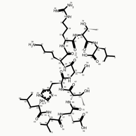 CC(C)C[C@H](NC(=O)[C@@H](NC(=O)[C@H](CCCNC(=N)N)NC(=O)[C@H](CCCCN)NC(=O)[C@H](CO)NC(=O)[C@H](Cc1c[nH]cn1)NC(=O)[C@@H](NC(=O)[C@H](CC(=O)O)NC(=O)[C@@H](NC(=O)[C@@H](N)CC(C)C)C(C)C)[C@@H](C)O)[C@@H](C)O)C(=O)O